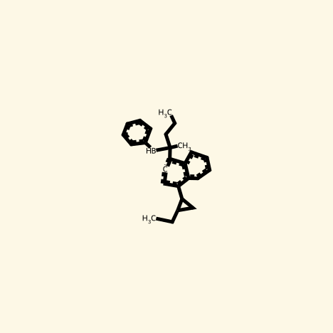 CCCC(C)(Bc1ccccc1)c1ccc(C2CC2CC)c2ccccc12